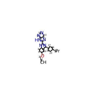 C#CCOc1ccc2nc(-c3nc4cncnc4[nH]3)nc(-c3ccc(C(C)C)cc3)c2c1